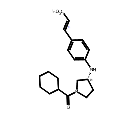 O=C(O)/C=C/c1ccc(N[C@@H]2CCN(C(=O)C3CCCCC3)C2)cc1